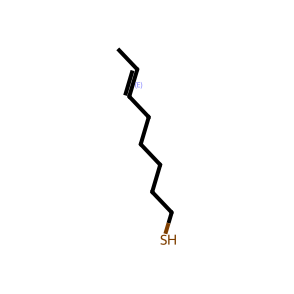 C/C=C/CCCCCS